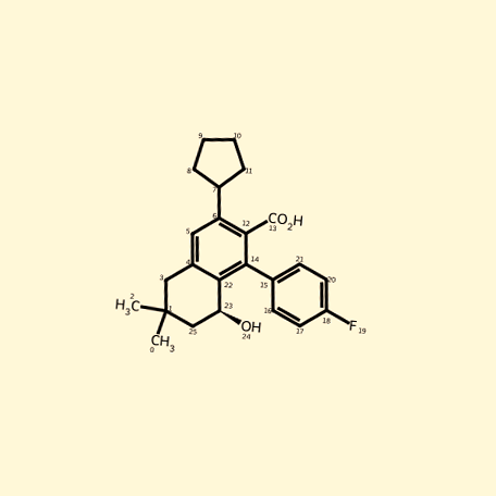 CC1(C)Cc2cc(C3CCCC3)c(C(=O)O)c(-c3ccc(F)cc3)c2[C@@H](O)C1